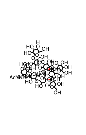 CC(=O)NC1C(O)[C@H](O[C@@H]2OC(CO)[C@H](O)[C@H](O)C2O)[C@H](CO)O[C@H]1OC1[C@@H](OCC2O[C@@H](O[C@@H]3C(CO)O[C@@H](O[C@@H]4C(CO)O[C@@H](C)C(NC(C)=O)[C@H]4O)C(NC(C)=O)[C@H]3O)C(O)[C@@H](O[C@H]3OC(CO)[C@@H](O)C(O)C3O[C@@H]3OC(CO)[C@@H](O[C@@H]4OC(CO)[C@H](O)[C@H](O)C4O)[C@H](O)C3NC(C)=O)[C@@H]2O)OC(CO)[C@@H](O)[C@@H]1O